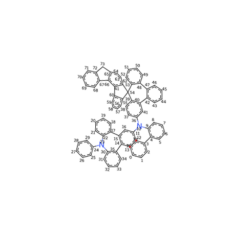 c1ccc(-c2ccccc2N(c2ccc3c(c2)-c2ccccc2N(c2ccccc2)c2ccccc2-3)c2ccc3c(c2)-c2ccccc2-c2ccccc2C32c3ccccc3-c3c2ccc2c3-c3ccccc3C2)cc1